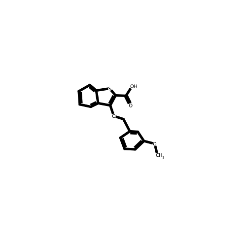 COc1cccc(COc2c(C(=O)O)sc3ccccc23)c1